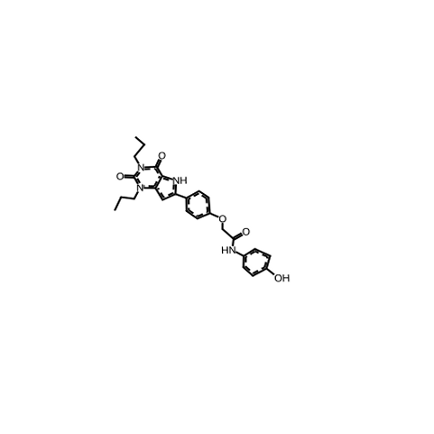 CCCn1c(=O)c2[nH]c(-c3ccc(OCC(=O)Nc4ccc(O)cc4)cc3)cc2n(CCC)c1=O